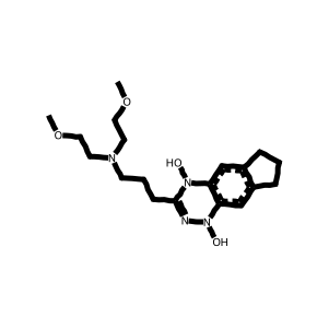 COCCN(CCCC1=NN(O)c2cc3c(cc2N1O)CCC3)CCOC